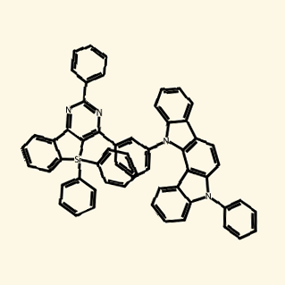 c1ccc(-c2nc(-c3cccc(-n4c5ccccc5c5ccc6c(c7ccccc7n6-c6ccccc6)c54)c3)c3c(n2)-c2ccccc2[Si]3(c2ccccc2)c2ccccc2)cc1